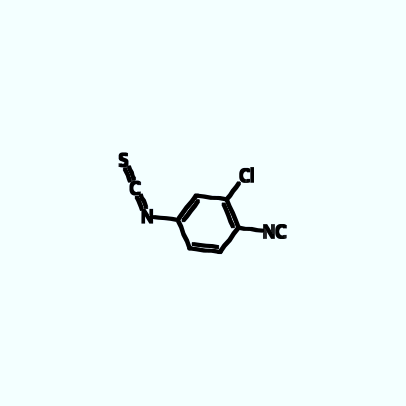 [C-]#[N+]c1ccc(N=C=S)cc1Cl